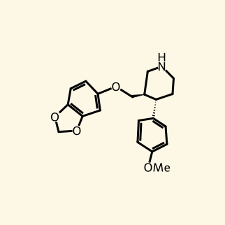 COc1ccc([C@H]2CCNC[C@@H]2COc2ccc3c(c2)OCO3)cc1